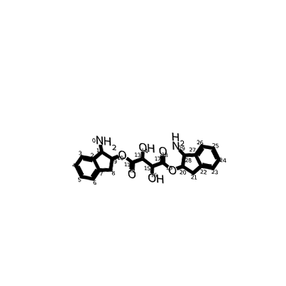 NC1c2ccccc2CC1OC(=O)C(O)C(O)C(=O)OC1Cc2ccccc2C1N